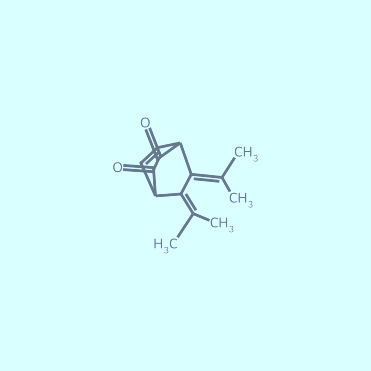 CC(C)=C1C(=C(C)C)C2C=CC1C(=O)C2=O